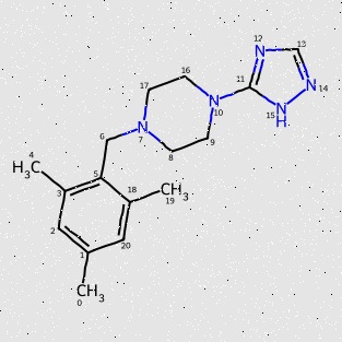 Cc1cc(C)c(CN2CCN(c3ncn[nH]3)CC2)c(C)c1